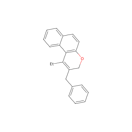 CCC1=C(Cc2ccccc2)COc2ccc3ccccc3c21